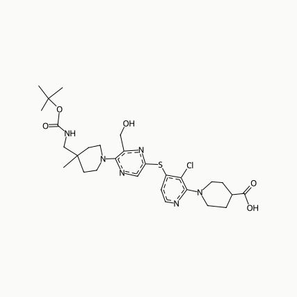 CC1(CNC(=O)OC(C)(C)C)CCN(c2ncc(Sc3ccnc(N4CCC(C(=O)O)CC4)c3Cl)nc2CO)CC1